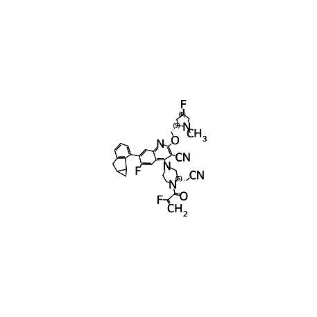 C=C(F)C(=O)N1CCN(c2c(C#N)c(OC[C@@H]3C[C@@H](F)CN3C)nc3cc(-c4cccc5c4C4CC4C5)c(F)cc23)C[C@@H]1CC#N